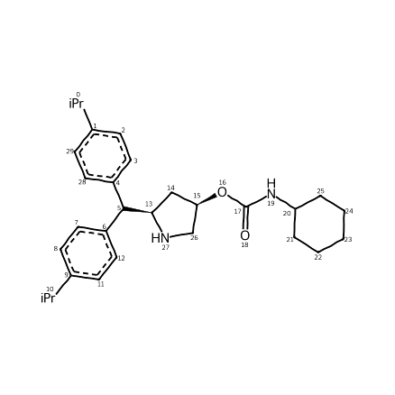 CC(C)c1ccc(C(c2ccc(C(C)C)cc2)[C@H]2C[C@@H](OC(=O)NC3CCCCC3)CN2)cc1